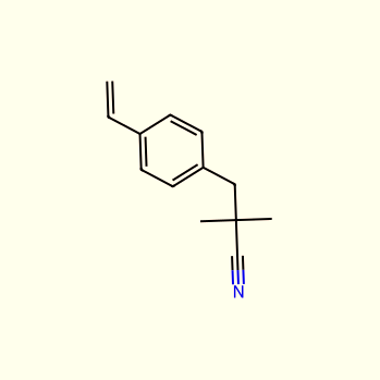 C=Cc1ccc(CC(C)(C)C#N)cc1